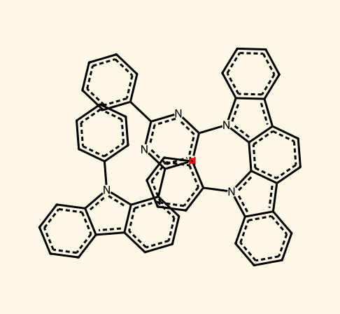 c1ccc(-c2nc(-c3cccc4c5ccccc5n(-c5ccccc5)c34)nc(-n3c4ccccc4c4ccc5c6ccccc6n(-c6ccccc6)c5c43)n2)cc1